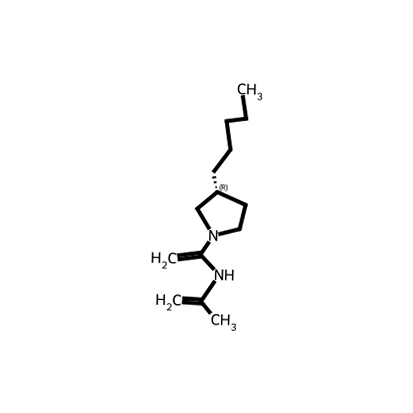 C=C(C)NC(=C)N1CC[C@@H](CCCCC)C1